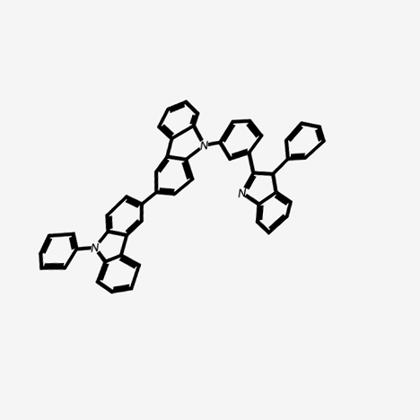 c1ccc(C2C(c3cccc(-n4c5ccccc5c5cc(-c6ccc7c(c6)c6ccccc6n7-c6ccccc6)ccc54)c3)=Nc3ccccc32)cc1